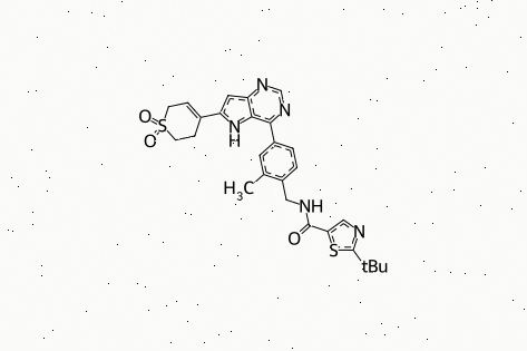 Cc1cc(-c2ncnc3cc(C4=CCS(=O)(=O)CC4)[nH]c23)ccc1CNC(=O)c1cnc(C(C)(C)C)s1